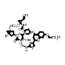 C=CC1C[C@]1(NC(=O)[C@@H]1C[C@@H](Oc2cc(-c3csc(NC(C)C)n3)nc3cc(OCC(=O)O)ccc23)CN1C(=O)[C@@H](NC(=O)O[C@@H]1C[C@@H]2C[C@@H]2C1)C(C)(C)C)C(=O)O